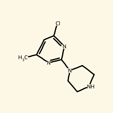 Cc1cc(Cl)nc(N2CCNCC2)n1